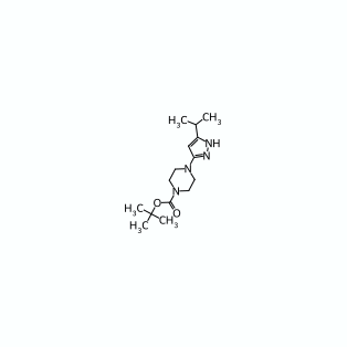 CC(C)c1cc(N2CCN(C(=O)OC(C)(C)C)CC2)n[nH]1